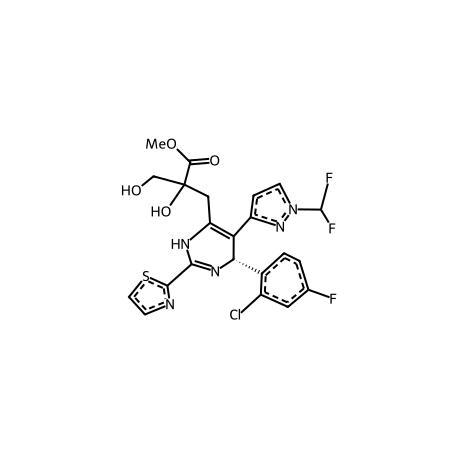 COC(=O)C(O)(CO)CC1=C(c2ccn(C(F)F)n2)[C@H](c2ccc(F)cc2Cl)N=C(c2nccs2)N1